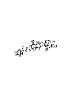 CC(C)(C)CS(=O)(=O)N[C@@H](Cc1ccc2oc(CCCNc3ccccn3)cc(=O)c2c1)C(=O)O